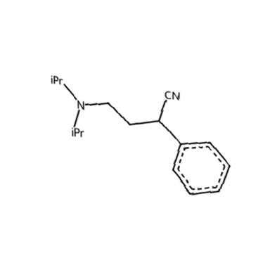 CC(C)N(CCC(C#N)c1ccccc1)C(C)C